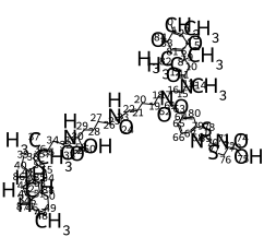 CC1=C(C)C(=O)C(C(C)(C)CC(=O)N(C)CCN(CCCCCC(=O)NCCCCC(NC(=O)CC[C@@H](C)[C@H]2CC[C@H]3[C@@H]4CC[C@@H]5C[C@H](C)CC[C@]5(C)[C@H]4CC[C@]23C)C(=O)O)C(=O)Oc2ccc3nc(C4=NC(C(=O)O)CS4)sc3c2)=C(C)C1=O